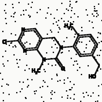 Cc1ccc(CO)cc1N1Cc2cnc(Cl)nc2N(C)C1=O